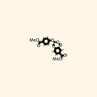 COC(=O)c1ccc(OP(OCl)Oc2ccc(C(=O)OC)cc2)cc1